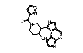 CC1CCN(C(=O)c2cc[nH]n2)CC1c1ncc2cnc3[nH]ccc3n12